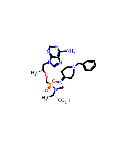 CC(C)N([C@@H](C)C(=O)O)P(=O)(CO[C@H](C)Cn1cnc2c(N)ncnc21)ON=C1CCN(Cc2ccccc2)CC1